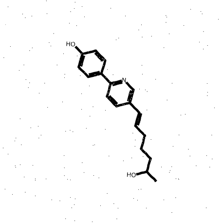 CC(O)CCC/C=C/c1ccc(-c2ccc(O)cc2)nc1